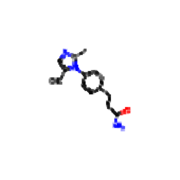 Cc1ncc(C=O)n1-c1ccc(C=CC(N)=O)cc1